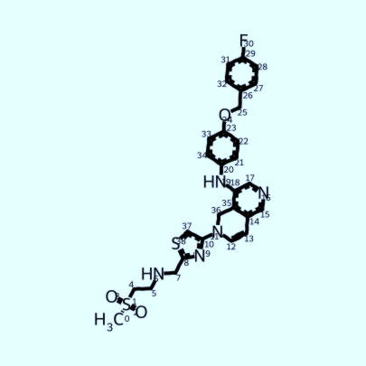 CS(=O)(=O)CCNCc1nc(N2C=Cc3cncc(Nc4ccc(OCc5ccc(F)cc5)cc4)c3C2)cs1